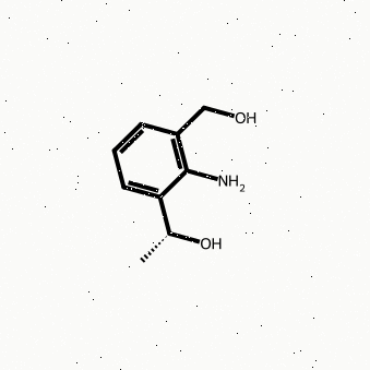 C[C@@H](O)c1cccc(CO)c1N